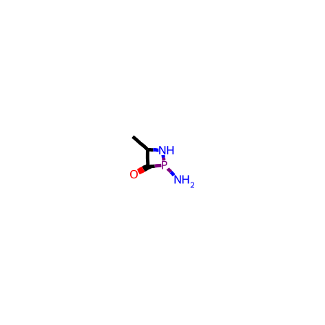 CC1NP(N)C1=O